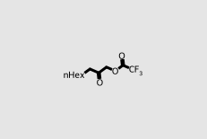 CCCCCCCC(=O)COC(=O)C(F)(F)F